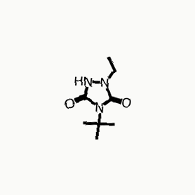 CCn1[nH]c(=O)n(C(C)(C)C)c1=O